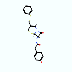 COC1(NC(=O)CC2=CCC(O)=CC2)C(=O)N2C(C(=O)O)=C(CSc3ccccc3)CS[C@H]21